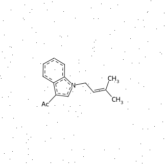 CC(=O)c1cn(CC=C(C)C)c2ccccc12